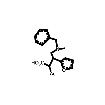 CC(=O)C(C(=O)O)C(CN(C)Cc1ccccc1)c1ccco1